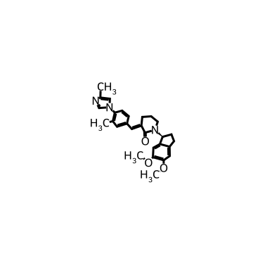 COc1cc2c(cc1OC)[C@@H](N1CCC/C(=C\c3ccc(-n4cnc(C)c4)c(C)c3)C1=O)CC2